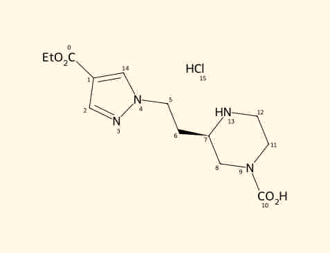 CCOC(=O)c1cnn(CC[C@@H]2CN(C(=O)O)CCN2)c1.Cl